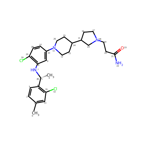 Cc1ccc([C@@H](C)Nc2cc(N3CCC(C4CCN(CCC(N)=O)C4)CC3)ccc2Cl)c(Cl)c1